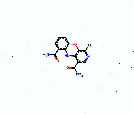 NC(=O)c1cccc2c1Nc1c(C(N)=O)cnc(Cl)c1O2